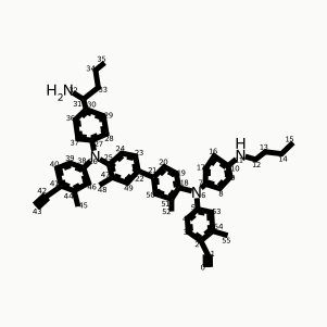 C#Cc1ccc(N(c2ccc(NCCCC)cc2)c2ccc(-c3ccc(N(c4ccc(C(N)CCC)cc4)c4ccc(C#C)c(C)c4)c(C)c3)cc2C)cc1C